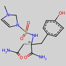 CN1C=CN(S(=O)(=O)N[C@@](CC(N)=O)(Cc2ccc(O)cc2)C(N)=O)C1